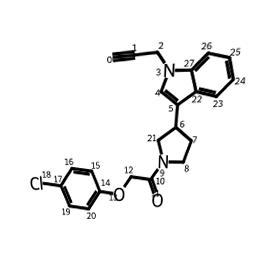 C#CCn1cc(C2CCN(C(=O)COc3ccc(Cl)cc3)C2)c2ccccc21